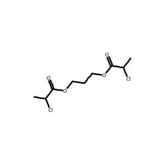 CC(Cl)C(=O)OCCCOC(=O)C(C)Cl